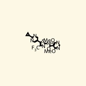 COc1ncnc(OC)c1C(=O)Nc1nc(C(F)(F)F)c(-c2cnc(C3CC3)nc2)s1